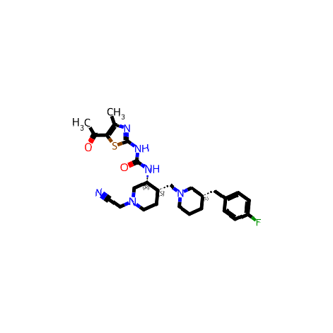 CC(=O)c1sc(NC(=O)N[C@H]2CN(CC#N)CC[C@H]2CN2CCC[C@@H](Cc3ccc(F)cc3)C2)nc1C